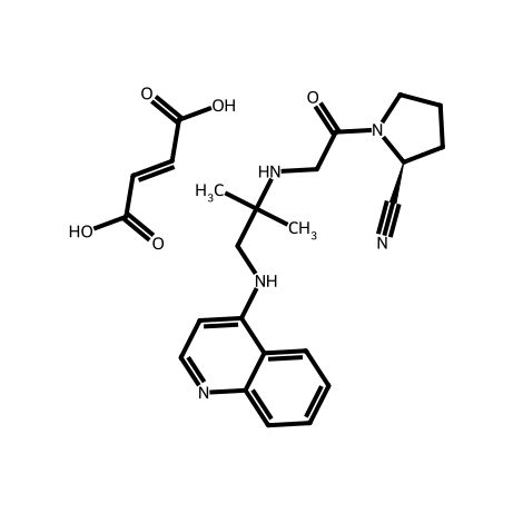 CC(C)(CNc1ccnc2ccccc12)NCC(=O)N1CCC[C@H]1C#N.O=C(O)/C=C/C(=O)O